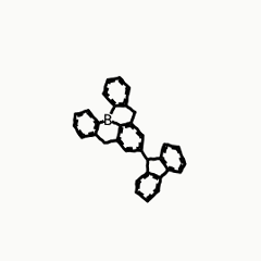 c1ccc2c(c1)Cc1cc(C3c4ccccc4-c4ccccc43)cc3c1B2c1ccccc1C3